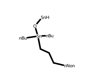 CCCCCCCCCCC[CH2][Sn]([CH2]CCC)([CH2]CCC)[O][SnH]